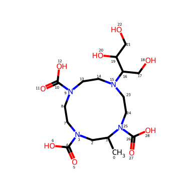 CC1CN(C(=O)O)CCN(C(=O)O)CCN(C(CO)C(O)CO)CCN1C(=O)O